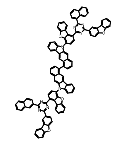 c1ccc2cc(-c3nc(-c4ccc5oc6ccccc6c5c4)nc(-c4ccc(-n5c6ccccc6c6cc7c(-c8cccc9cc%10c(cc89)c8ccccc8n%10-c8ccc(-c9nc(-c%10ccc%11oc%12ccccc%12c%11c%10)nc(-c%10cccc%11ccccc%10%11)n9)c9c8oc8ccccc89)cccc7cc65)c5oc6ccccc6c45)n3)ccc2c1